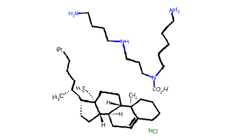 CC(C)CCC[C@@H](C)[C@H]1CC[C@H]2[C@@H]3CC=C4CCCC[C@]4(C)[C@H]3CC[C@]12C.Cl.NCCCCCN(CCCNCCCCN)C(=O)O